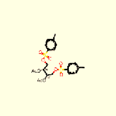 CC(=O)O[C@H](COS(=O)(=O)c1ccc(C)cc1)[C@@H](COS(=O)(=O)c1ccc(C)cc1)OC(C)=O